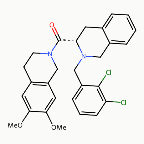 COc1cc2c(cc1OC)CN(C(=O)[C@@H]1Cc3ccccc3CN1Cc1cccc(Cl)c1Cl)CC2